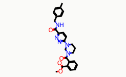 COC(=O)c1ccccc1C(=O)N1CCCN(c2ccc(C(=O)NCc3ccc(C)cc3)nn2)C1